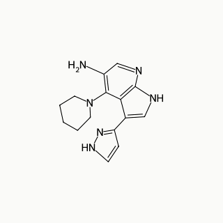 Nc1cnc2[nH]cc(-c3cc[nH]n3)c2c1N1CCCCC1